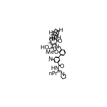 CCC[C@@H](CN1CCCC1)NC(=O)c1cc(-c2cccc(CN3O[C@@H](CO)[C@@H]([C@H](C)O)[C@H]3C(=O)N[C@H]3C[C@H]4C[C@@H]([C@@H]3C)C4(C)C)c2OC)cc(N(C)C)c1